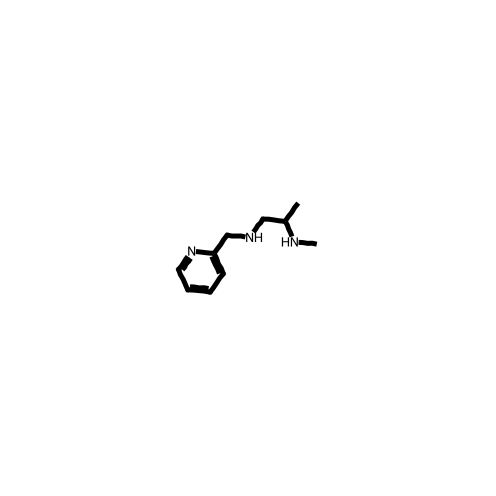 CNC(C)CNCc1ccccn1